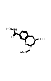 COC[C@H]1CN(C=O)Cc2ccc(C(=O)NO)cc2O1